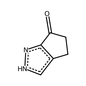 O=C1CCc2c[nH]nc21